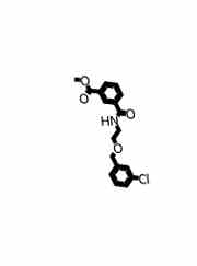 COC(=O)c1cccc(C(=O)NCCOCc2cccc(Cl)c2)c1